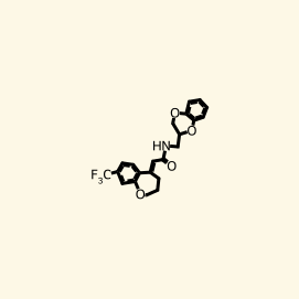 O=C(/C=C1\CCCOc2cc(C(F)(F)F)ccc21)NCC1COc2ccccc2O1